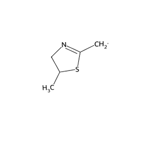 [CH2]C1=NCC(C)S1